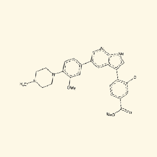 COC(=O)c1ccc(-c2c[nH]c3ncc(-c4ccc(N5CCN(C)CC5)c(OC)c4)cc23)c(Cl)c1